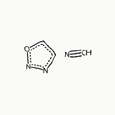 C#N.c1conn1